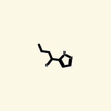 CCCC(Cl)c1ccn[nH]1